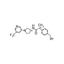 CC(C)Cc1ccc([C@@H](C)C(=O)N[C@@H]2CCN(c3cncc(C(F)(F)F)c3)C2)cc1